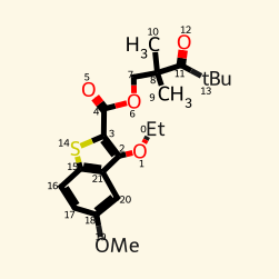 CCOc1c(C(=O)OCC(C)(C)C(=O)C(C)(C)C)sc2ccc(OC)cc12